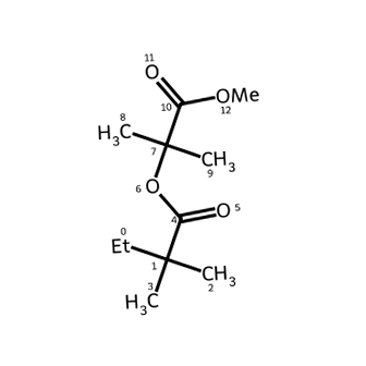 CCC(C)(C)C(=O)OC(C)(C)C(=O)OC